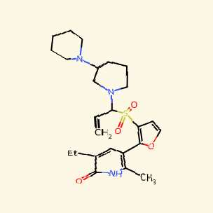 C=CC(N1CCCC(N2CCCCC2)C1)S(=O)(=O)c1ccoc1-c1cc(CC)c(=O)[nH]c1C